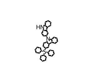 c1ccc(S(c2ccccc2)(c2ccccc2)c2ccc3c(c2)c2ccccc2n3-c2ccc3[nH]c4ccccc4c3c2)cc1